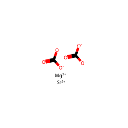 O=C([O-])[O-].O=C([O-])[O-].[Mg+2].[Sr+2]